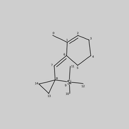 CC1=CCCCC1=CC1([Si](C)(C)C)CC1